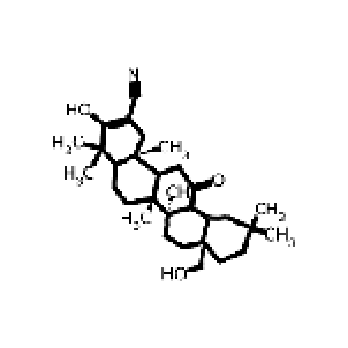 CC1(C)CC[C@]2(CO)CC[C@]3(C)C(C(=O)CC4[C@@]5(C)CC(C#N)=C(O)C(C)(C)C5CC[C@]43C)C2C1